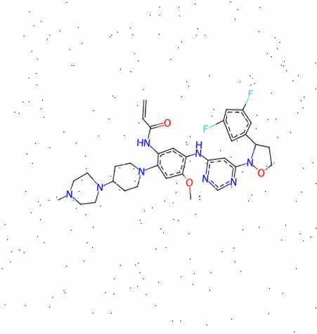 C=CC(=O)Nc1cc(Nc2cc(N3OCCC3c3cc(F)cc(F)c3)ncn2)c(OC)cc1N1CCC(N2CCN(C)CC2)CC1